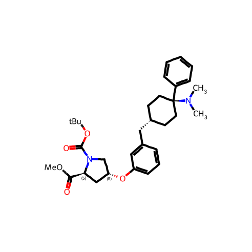 COC(=O)[C@@H]1C[C@@H](Oc2cccc(C[C@H]3CC[C@](c4ccccc4)(N(C)C)CC3)c2)CN1C(=O)OC(C)(C)C